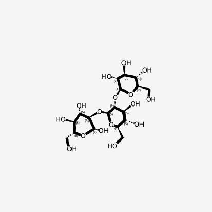 OC[C@H]1O[C@@H](O[C@H]2[C@H](O[C@@H]3[C@@H](O)[C@H](O)[C@@H](CO)O[C@H]3O)O[C@H](CO)[C@@H](O)[C@@H]2O)[C@H](O)[C@@H](O)[C@@H]1O